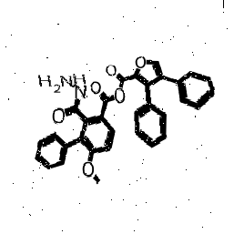 COc1ccc(C(=O)OC(=O)c2occ(-c3ccccc3)c2-c2ccccc2)c(C(=O)NN)c1-c1ccccc1